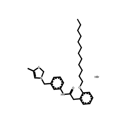 Br.CCCCCCCCCCCCOc1ccccc1CC(=O)Nc1cccc(CN2C=C(C)SC2)c1